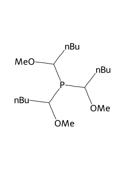 CCCCC(OC)P(C(CCCC)OC)C(CCCC)OC